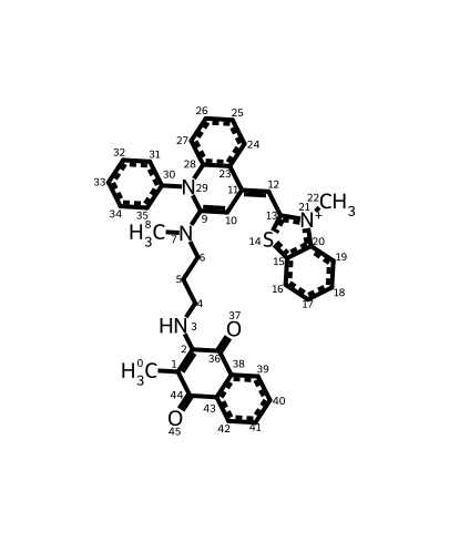 CC1=C(NCCCN(C)C2=C/C(=C\c3sc4ccccc4[n+]3C)c3ccccc3N2c2ccccc2)C(=O)c2ccccc2C1=O